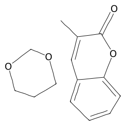 C1COCOC1.Cc1cc2ccccc2oc1=O